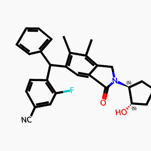 Cc1c(C(c2ccccc2)c2ccc(C#N)cc2F)cc2c(c1C)CN([C@H]1CCC[C@@H]1O)C2=O